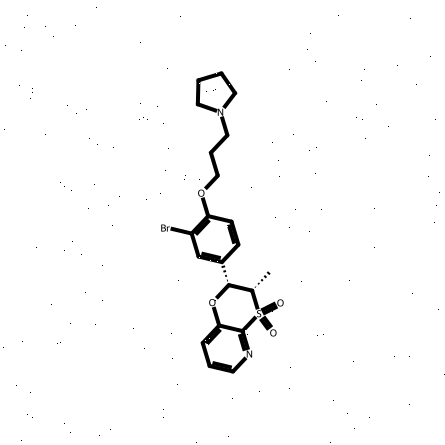 C[C@H]1[C@@H](c2ccc(OCCCN3CCCC3)c(Br)c2)Oc2cccnc2S1(=O)=O